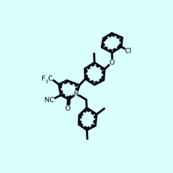 Cc1ccc(Cn2c(-c3ccc(Oc4ccccc4Cl)c(C)c3)cc(C(F)(F)F)c(C#N)c2=O)c(C)c1